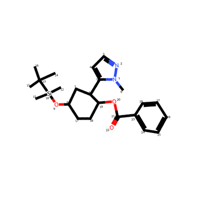 Cn1nccc1C1CC(O[Si](C)(C)C(C)(C)C)CCC1OC(=O)c1ccccc1